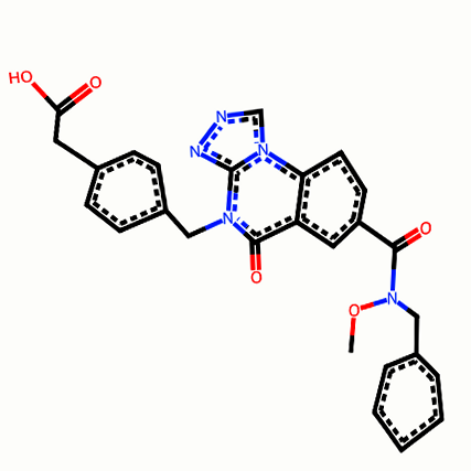 CON(Cc1ccccc1)C(=O)c1ccc2c(c1)c(=O)n(Cc1ccc(CC(=O)O)cc1)c1nncn21